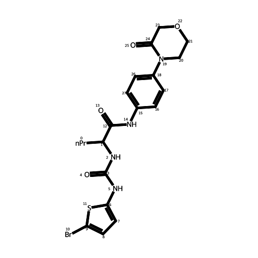 CCCC(NC(=O)Nc1ccc(Br)s1)C(=O)Nc1ccc(N2CCOCC2=O)cc1